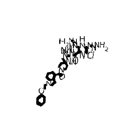 NN=NC1=C(Cl)N=C(C(=O)NC2NC3(CCN(C(=O)C4=c5ccn(CCOc6ccccc6)c5=CCC4)CC3)CN2N)C(N=NN)N1